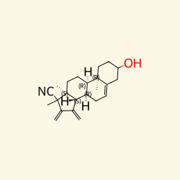 C=C1C(=C)C(C)(C#N)[C@@]2(C)CC[C@@H]3[C@@H](CC=C4CC(O)CC[C@@]43C)[C@H]12